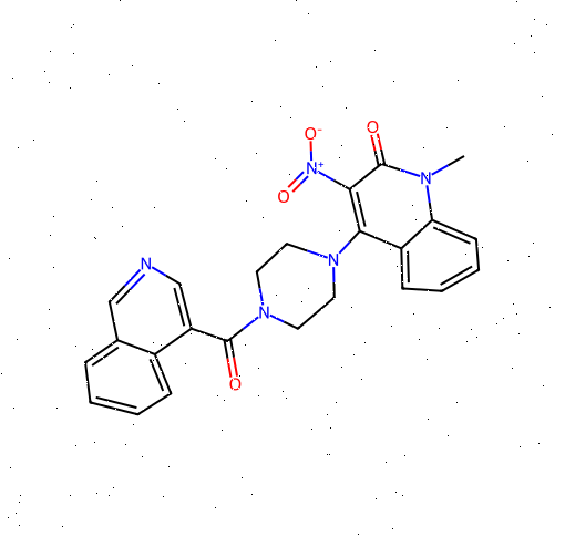 Cn1c(=O)c([N+](=O)[O-])c(N2CCN(C(=O)c3cncc4ccccc34)CC2)c2ccccc21